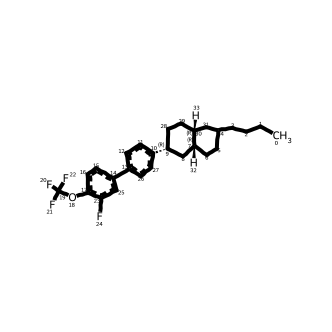 CCCCC1CC[C@@H]2C[C@H](c3ccc(-c4ccc(OC(F)(F)F)c(F)c4)cc3)CC[C@@H]2C1